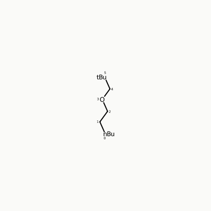 [CH2]CCCCCOCC(C)(C)C